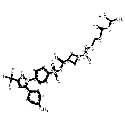 Cc1ccc(-c2cc(C(F)(F)F)nn2-c2ccc(S(=O)(=O)NC(=O)C3CN(/[N+]([O-])=N/OCOC(=O)OC(C)C)C3)cc2)cc1